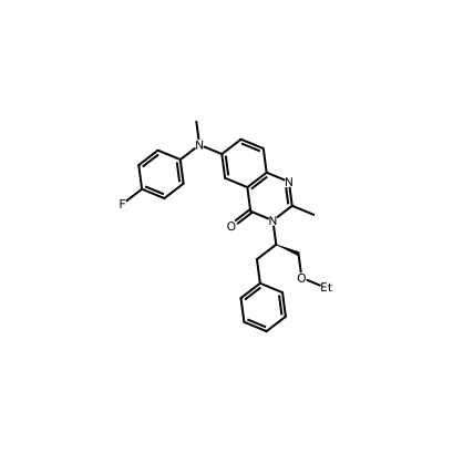 CCOC[C@@H](Cc1ccccc1)n1c(C)nc2ccc(N(C)c3ccc(F)cc3)cc2c1=O